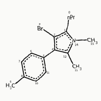 CCCc1c(Br)c(-c2ccc(C)cc2)c(C)n1C